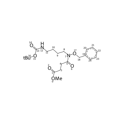 COC(=O)CCC(=O)N(CCCCNC(=O)OC(C)(C)C)OCc1ccccc1